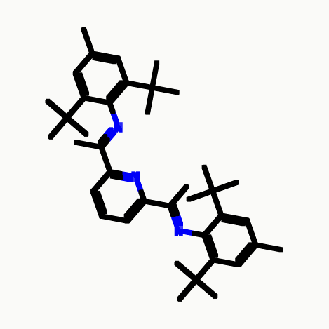 C/C(=N\c1c(C(C)(C)C)cc(C)cc1C(C)(C)C)c1cccc(/C(C)=N/c2c(C(C)(C)C)cc(C)cc2C(C)(C)C)n1